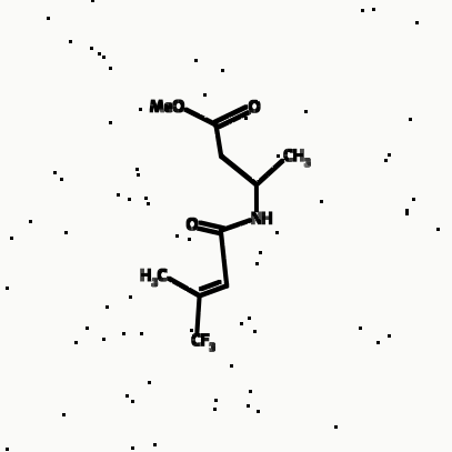 COC(=O)CC(C)NC(=O)/C=C(\C)C(F)(F)F